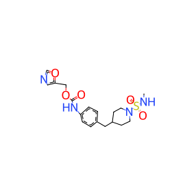 CNS(=O)(=O)N1CCC(Cc2ccc(NC(=O)OCc3cnco3)cc2)CC1